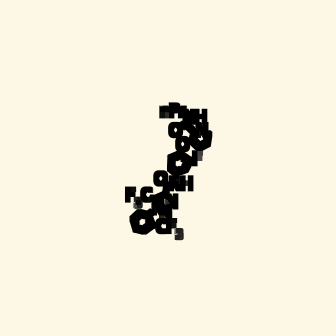 CCCNC(=O)c1ncccc1Oc1ccc(NC(=O)c2nnn(-c3ccccc3C(F)(F)F)c2C(F)(F)F)cc1F